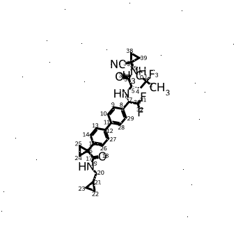 CC(C)(F)C[C@H](N[C@@H](c1ccc(-c2ccc(C3(C(=O)NCC4CC4)CC3)cc2)cc1)C(F)F)C(=O)NC1(C#N)CC1